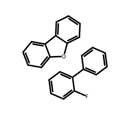 Fc1ccccc1-c1ccccc1.c1ccc2c(c1)oc1ccccc12